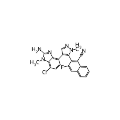 Cn1ncc(-c2ccc(Cl)c3c2nc(N)n3C)c1-c1c(F)cc2ccccc2c1C#N